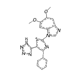 COc1cc2ncn(-c3nc(-c4ccccc4)c(-c4nnn[nH]4)s3)c2cc1OC